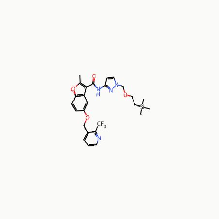 Cc1oc2ccc(OCc3cccnc3C(F)(F)F)cc2c1C(=O)Nc1ccn(COCC[Si](C)(C)C)n1